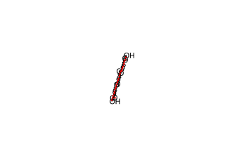 O=C(CCSCSCSCCCOOCCSCSCSCCOC(=O)CCSCSCSCCCOOCCO)OCCO